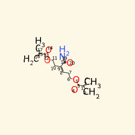 C=C(C)C(=O)OCCC=C(CCOC(=O)C(=C)C)C(N)=O